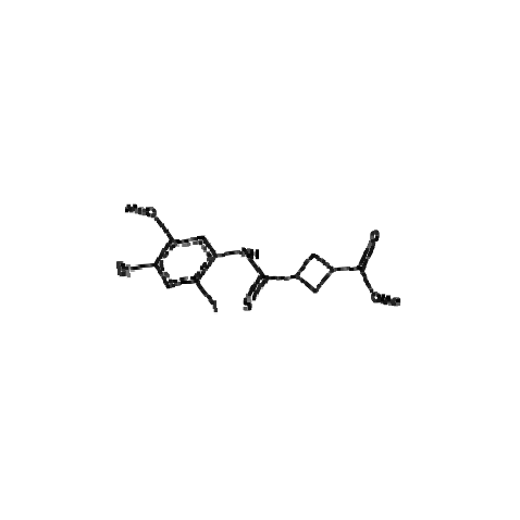 COC(=O)C1CC(C(=S)Nc2cc(OC)c(Br)cc2I)C1